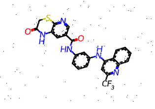 O=C1CSc2ncc(C(=O)Nc3cccc(Nc4cc(C(F)(F)F)nc5ccccc45)c3)cc2N1